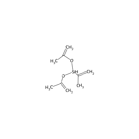 C=C(C)O[SiH](OC(=C)C)C(=C)C